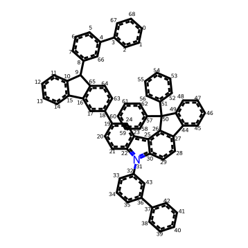 c1ccc(-c2cccc(C3c4ccccc4-c4cc(-c5ccc6c(c5)c5c7c(ccc5n6-c5cccc(-c6ccccc6)c5)-c5ccccc5C7(c5ccccc5)c5ccccc5)ccc43)c2)cc1